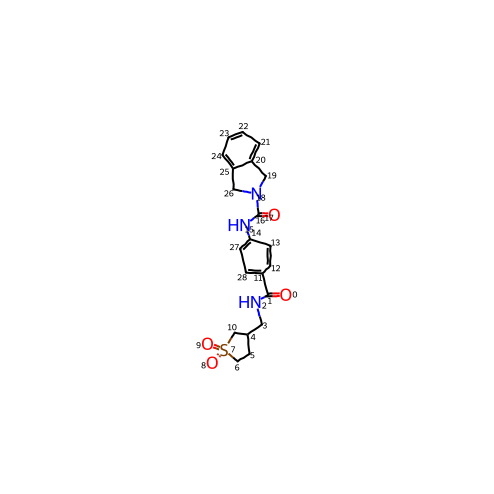 O=C(NCC1CCS(=O)(=O)C1)c1ccc(NC(=O)N2Cc3ccccc3C2)cc1